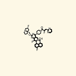 C#Cc1cccc2c(F)ccc(-c3ncc4c(N5CCN(C(=O)/C(F)=C/c6ncccn6)CC5)nc(OC[C@@]56CCCN5C[C@H](F)C6)nc4c3F)c12